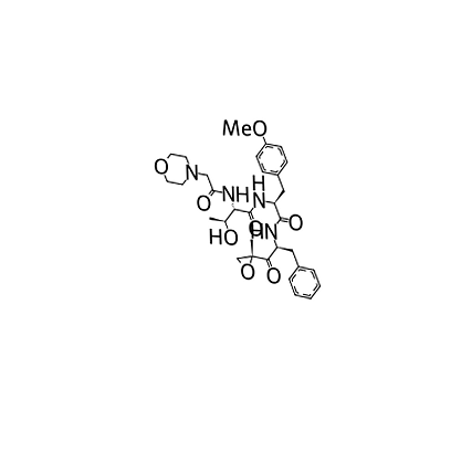 COc1ccc(C[C@H](NC(=O)[C@@H](NC(=O)CN2CCOCC2)[C@H](C)O)C(=O)N[C@@H](Cc2ccccc2)C(=O)[C@@]2(C)CO2)cc1